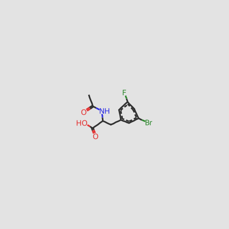 CC(=O)NC(Cc1cc(F)cc(Br)c1)C(=O)O